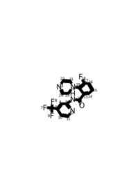 O=C(Nc1cc(C(F)(F)F)ccn1)c1cccc(F)c1N1C=CN=CC1